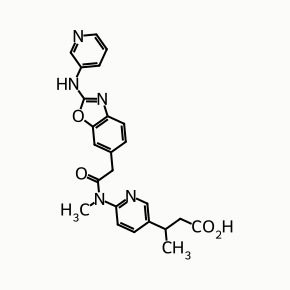 CC(CC(=O)O)c1ccc(N(C)C(=O)Cc2ccc3nc(Nc4cccnc4)oc3c2)nc1